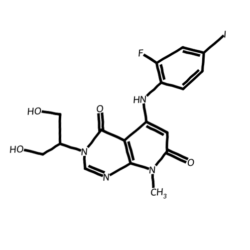 Cn1c(=O)cc(Nc2ccc(I)cc2F)c2c(=O)n(C(CO)CO)cnc21